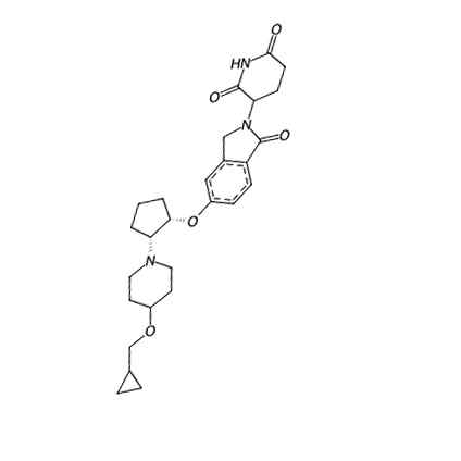 O=C1CCC(N2Cc3cc(O[C@H]4CCC[C@H]4N4CCC(OCC5CC5)CC4)ccc3C2=O)C(=O)N1